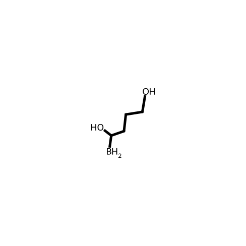 BC(O)CCCO